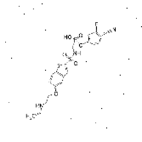 C=CNCCOc1ccc2sc(S(=O)(=O)NCP(=O)(O)Oc3ccc(C#N)c(F)c3)cc2c1